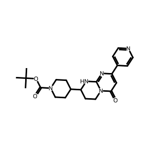 CC(C)(C)OC(=O)N1CCC(C2CCn3c(nc(-c4ccncc4)cc3=O)N2)CC1